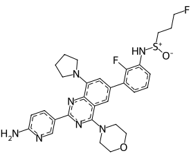 Nc1ccc(-c2nc(N3CCOCC3)c3cc(-c4cccc(N[S+]([O-])CCCF)c4F)cc(N4CCCC4)c3n2)cn1